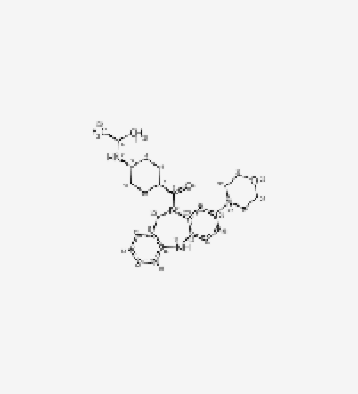 C[C@@H](N[C@H]1CC[C@@H](C(=O)N2Cc3cccnc3Nc3ccc(N4CCOCC4)cc32)CC1)C(F)(F)F